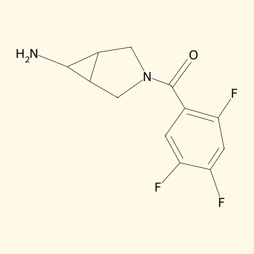 NC1C2CN(C(=O)c3cc(F)c(F)cc3F)CC12